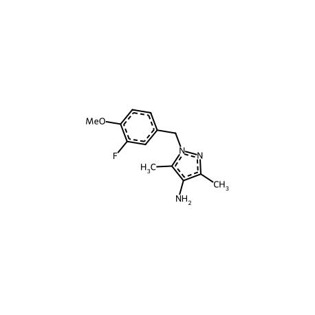 COc1ccc(Cn2nc(C)c(N)c2C)cc1F